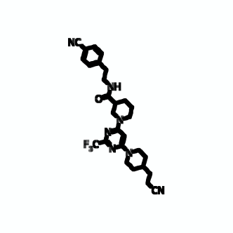 N#CCCC1CCN(c2cc(N3CCCC(C(=O)NCCc4ccc(C#N)cc4)C3)nc(C(F)(F)F)n2)CC1